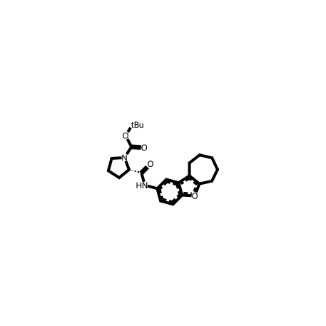 CC(C)(C)OC(=O)N1CCC[C@H]1C(=O)Nc1ccc2oc3c(c2c1)CCCCC3